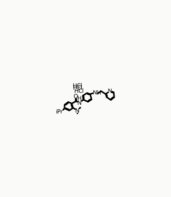 CC(C)c1ccc(C(=O)Nc2ccc(NCCc3ccccn3)cc2)c(N(C)C)c1.Cl.Cl.Cl